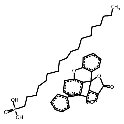 CCCCCCCCCCCCCCCCCCP(=O)(O)O.O=C1OC2(c3ccccc3Oc3ccccc32)c2c(Nc3ccccc3)cccc21